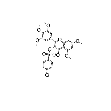 COc1cc(OC)c2c(=O)c(OS(=O)(=O)c3ccc(Cl)cc3)c(-c3cc(OC)c(OC)c(OC)c3)oc2c1